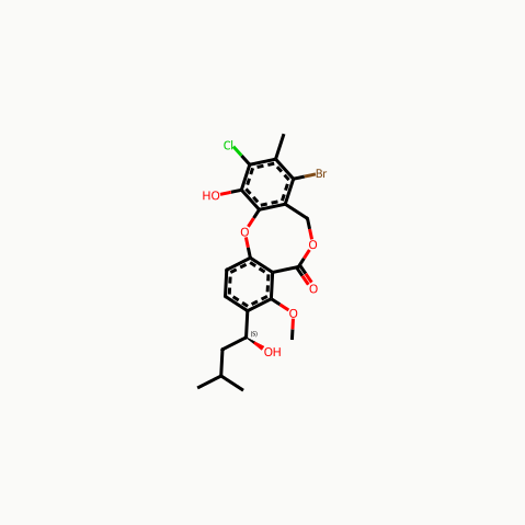 COc1c([C@@H](O)CC(C)C)ccc2c1C(=O)OCc1c(Br)c(C)c(Cl)c(O)c1O2